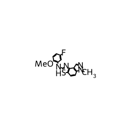 COc1ccc(F)cc1Nc1nc2c(ccc3c2cnn3C)s1